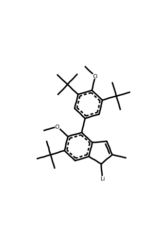 [Li][CH]1C(C)=Cc2c1cc(C(C)(C)C)c(OC)c2-c1cc(C(C)(C)C)c(OC)c(C(C)(C)C)c1